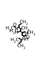 C=C/C=C(\C=C)Nc1cc(/C(C=C)=C(C)/C(=C\C=C)NC(C)=O)cn(C)c1=O